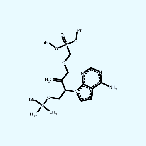 C=C(COCP(=O)(OC(C)C)OC(C)C)C(CO[Si](C)(C)C(C)(C)C)n1ccc2c(N)ncnc21